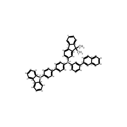 CC1(C)c2ccccc2-c2ccc(N(c3ccc(-c4ccc(-n5c6ccccc6c6ccccc65)cc4)cc3)c3cccc(-c4ccc5ccccc5c4)c3)cc21